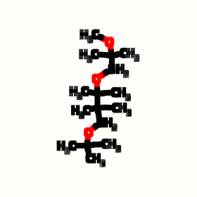 COC(C)(C)[SiH2]OC(C)(C)C(C)(C)[SiH2]OC(C)(C)C